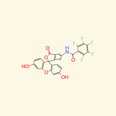 O=C1OC2(c3ccc(O)cc3Oc3cc(O)ccc32)c2ccc(NC(=O)c3c(F)c(F)c(F)c(F)c3F)cc21